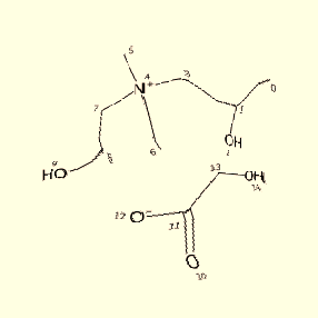 CC(O)C[N+](C)(C)CCO.O=C([O-])CO